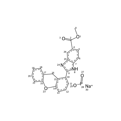 COC(=O)c1ccc2[nH]c(-c3cccc4c3Cc3ccccc3O4)nc2c1.O=P[O-].[Na+]